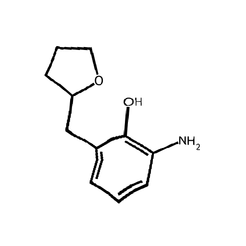 Nc1cccc(CC2CCCO2)c1O